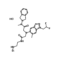 CCNCCNC(=O)CN(CC(=O)N(C)N1Cc2ccccc2C1)c1cc2cnn(CC(F)F)c2cc1C.Cl